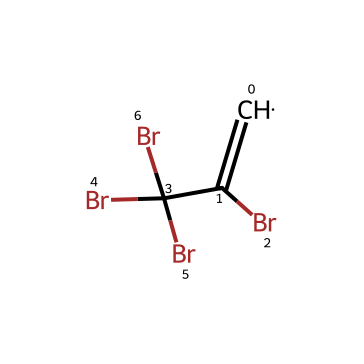 [CH]=C(Br)C(Br)(Br)Br